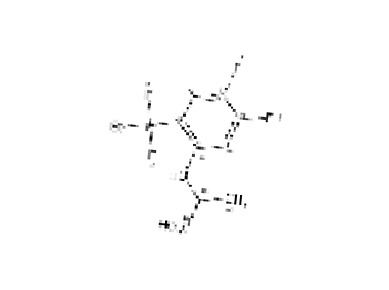 CCC(F)(F)c1cc(F)c(F)cc1OC(C)C(=O)O